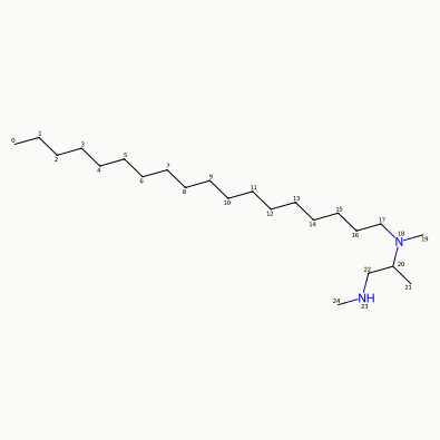 CCCCCCCCCCCCCCCCCCN(C)C(C)CNC